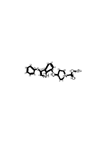 CC(C)(C)OC(=O)N1CCC(Oc2cccc3c(Sc4ccccc4)c[nH]c23)CC1